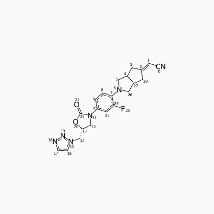 N#CC=C1CC2CN(c3ccc(N4C[C@H](Cn5ccnn5)OC4=O)cc3F)CC2C1